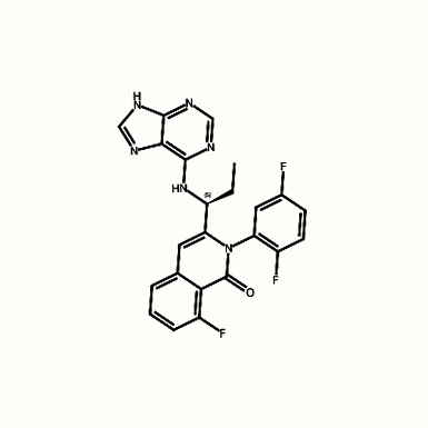 CC[C@H](Nc1ncnc2[nH]cnc12)c1cc2cccc(F)c2c(=O)n1-c1cc(F)ccc1F